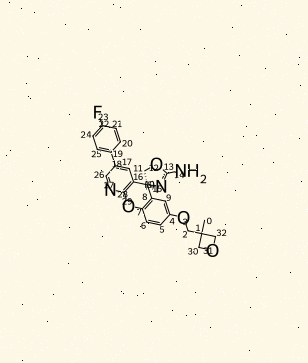 CC1(COc2ccc3c(c2)[C@@]2(COC(N)=N2)c2cc(-c4ccc(F)cc4)cnc2O3)COC1